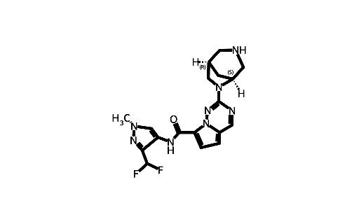 Cn1cc(NC(=O)c2ccc3cnc(N4C[C@H]5CNC[C@@H]4C5)nn23)c(C(F)F)n1